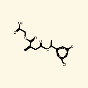 C=C(CC(=O)OC(C)c1cc(Cl)cc(Cl)c1)C(=O)OCC(=O)O